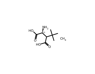 C.CC(C)(C)C(C(=O)O)[C@H](N)C(=O)O